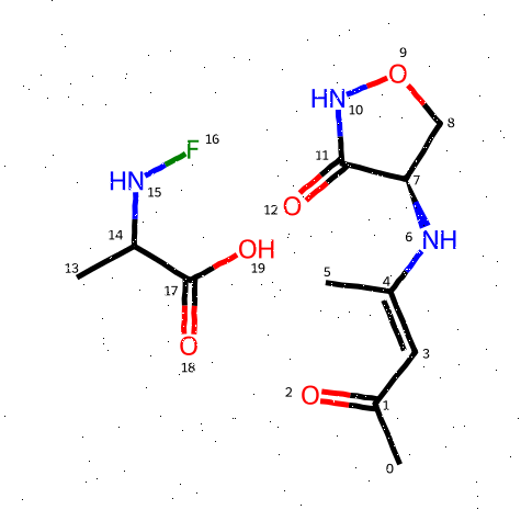 CC(=O)/C=C(\C)N[C@@H]1CONC1=O.CC(NF)C(=O)O